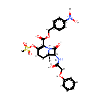 CS(=O)(=O)OC1=C(C(=O)OCc2ccc([N+](=O)[O-])cc2)N2C(=O)[C@@H](NC(=O)COc3ccccc3)[C@@H]2CC1